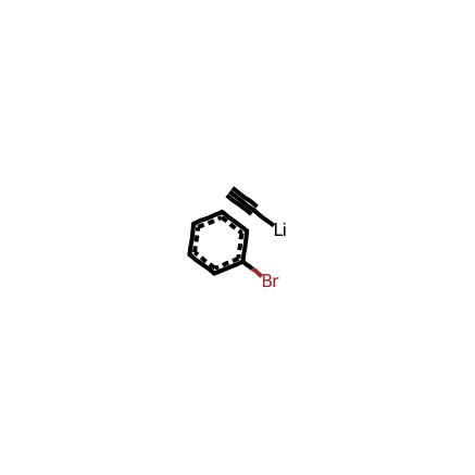 Brc1ccccc1.[Li][C]#C